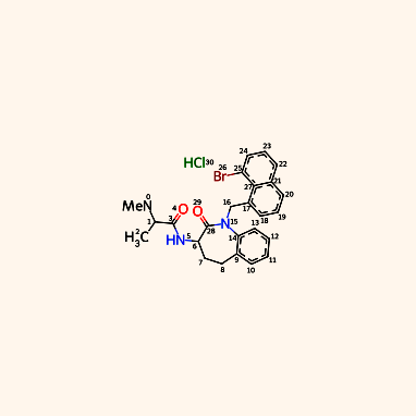 CNC(C)C(=O)NC1CCc2ccccc2N(Cc2cccc3cccc(Br)c23)C1=O.Cl